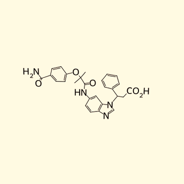 CC(C)(Oc1ccc(C(N)=O)cc1)C(=O)Nc1ccc2ncn(C(CC(=O)O)c3ccccc3)c2c1